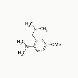 COc1cc[c]([Bi]([CH3])[CH3])c(CN(C)C)c1